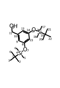 CC(C)(C)[Si](C)(C)Oc1cc(CO)cc(O[Si](C)(C)C(C)(C)C)c1